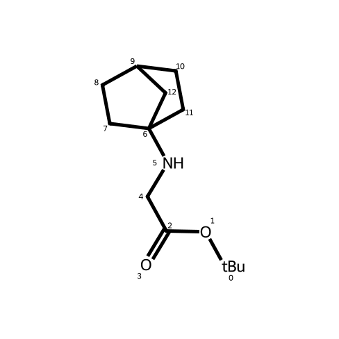 CC(C)(C)OC(=O)CNC12CCC(CC1)C2